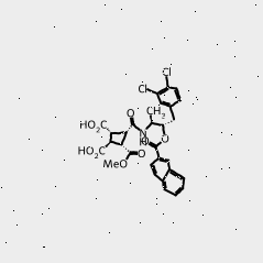 COC(=O)[C@@H]1[C@@H](C(=O)O)[C@H](C(=O)O)[C@@H]1C(=O)N[C@@H](C)[C@H](Cc1ccc(Cl)c(Cl)c1)OC(=O)c1ccc2ccccc2c1